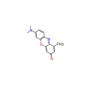 CN(C)c1ccc2nc3c(C=O)cc(=O)cc-3oc2c1